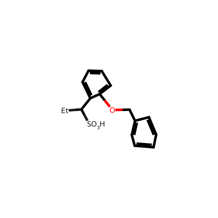 CCC(c1ccccc1OCc1ccccc1)S(=O)(=O)O